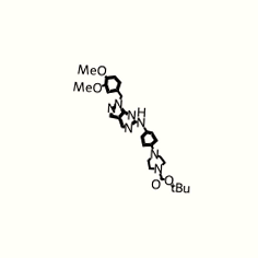 COc1ccc(Cn2ncc3cnc(Nc4ccc(N5CCN(C(=O)OC(C)(C)C)CC5)cc4)nc32)cc1OC